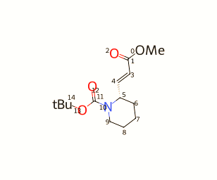 COC(=O)C=C[C@@H]1CCCCN1C(=O)OC(C)(C)C